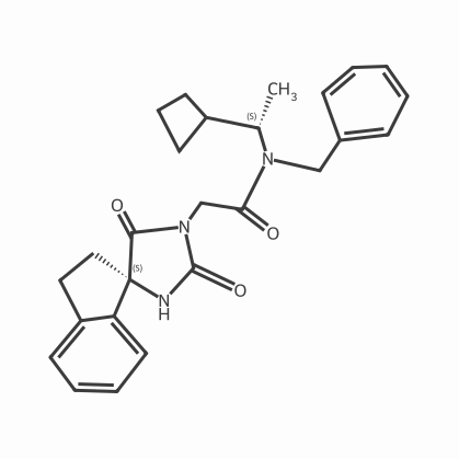 C[C@@H](C1CCC1)N(Cc1ccccc1)C(=O)CN1C(=O)N[C@]2(CCc3ccccc32)C1=O